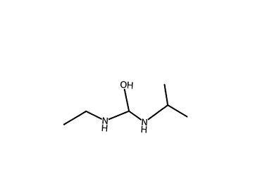 CCNC(O)NC(C)C